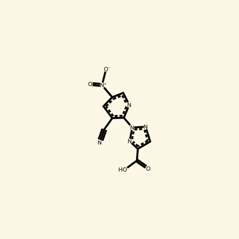 N#Cc1cc([N+](=O)[O-])cnc1-n1ncc(C(=O)O)n1